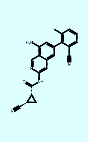 Cc1cccc(C#N)c1-c1cc(N)c2cnc(NC(=O)[C@@H]3C[C@H]3C#N)cc2c1